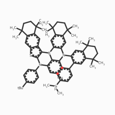 C[SiH](C)c1ccc(-c2cc3c(cc2N2c4cc5c(cc4B4c6c2cc(C(C)(C)C)cc6N(c2ccc(C(C)(C)C)cc2)c2sc6cc7c(cc6c24)C(C)(C)CCC7(C)C)C(C)(C)CCC5(C)C)C(C)(C)CCC3(C)C)cc1